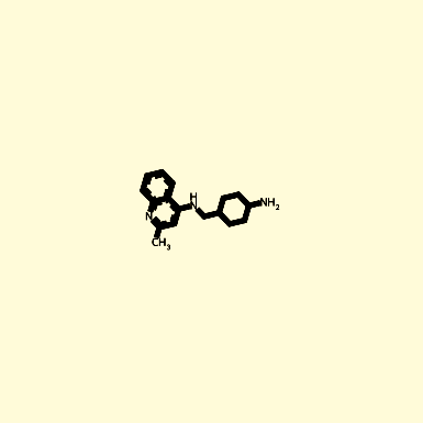 Cc1cc(NCC2CCC(N)CC2)c2ccccc2n1